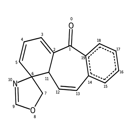 O=C1C2=CC=CC3(COC=N3)C2C=Cc2ccccc21